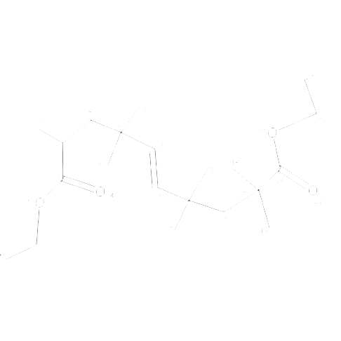 CCOC(=O)C(C)CC(C)(C)/C=C/C(C)(C)CC(C)(C)C(=O)OCC